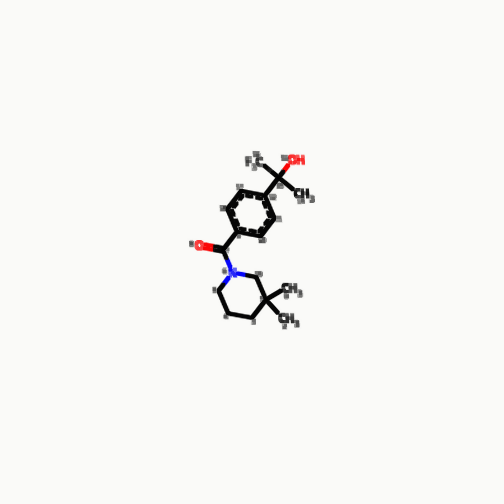 CC1(C)CCCN(C(=O)c2ccc(C(C)(O)C(F)(F)F)cc2)C1